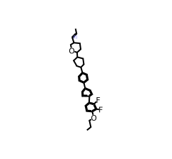 C/C=C/C1CCC(C2CCC(c3ccc(-c4ccc(-c5ccc(OCCC)c(F)c5F)cc4)cc3)CC2)OC1